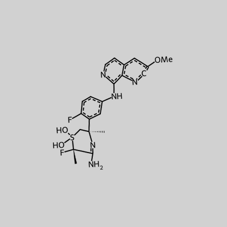 COc1cnc2c(Nc3ccc(F)c([C@]4(C)CS(O)(O)[C@@](C)(F)C(N)=N4)c3)nccc2c1